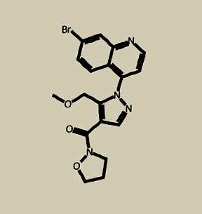 COCc1c(C(=O)N2CCCO2)cnn1-c1ccnc2cc(Br)ccc12